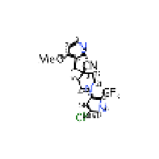 COc1ccncc1CC1(C#N)CCN(c2cc(Cl)cnc2C(F)(F)F)CC1